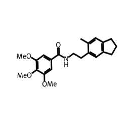 COc1cc(C(=O)NCCc2cc3c(cc2C)CCC3)cc(OC)c1OC